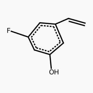 C=Cc1cc(O)cc(F)c1